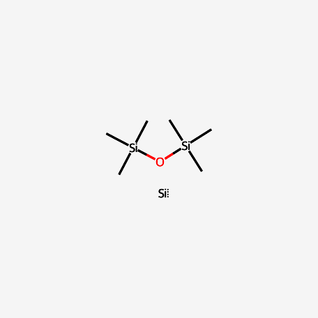 C[Si](C)(C)O[Si](C)(C)C.[Si]